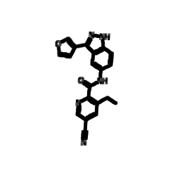 CCc1cc(C#N)cnc1C(=O)Nc1ccc2[nH]nc(-c3ccoc3)c2c1